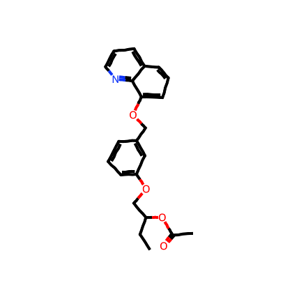 CCC(COc1cccc(COc2cccc3cccnc23)c1)OC(C)=O